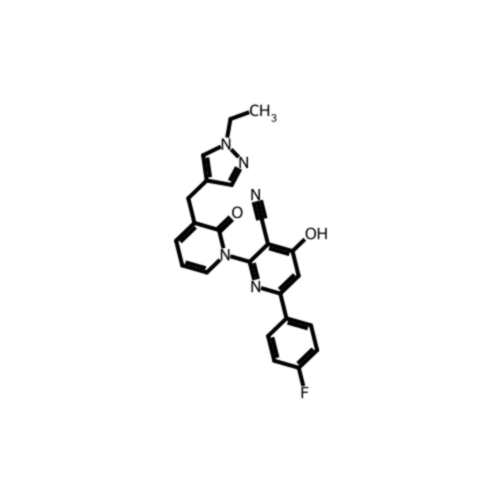 CCn1cc(Cc2cccn(-c3nc(-c4ccc(F)cc4)cc(O)c3C#N)c2=O)cn1